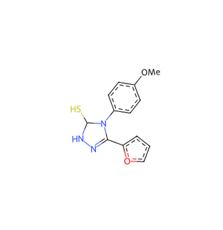 COc1ccc(N2C(c3ccco3)=NNC2S)cc1